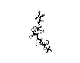 CC(C)(C)OC(=O)NCCC(NC(=O)OCC[Si](C)(C)C)C(=O)O